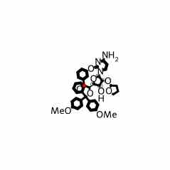 COc1ccc(C(OC(C(=O)c2ccccc2)[C@H]2O[C@@H](n3ccc(N)nc3=O)[C@H](OC3CCCO3)[C@@H]2O)(c2ccccc2)c2ccc(OC)cc2)cc1